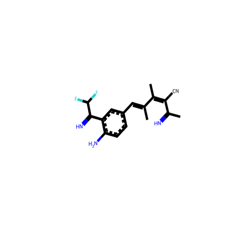 CC(=N)/C(C#N)=C(C)\C(C)=C\c1ccc(N)c(C(=N)C(F)F)c1